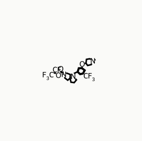 CN1CCC(Oc2cc(CN3CCCC34CCN(C(=O)OC(C(F)(F)F)C(F)(F)F)CC4)cc(C(F)(F)F)c2)CC1